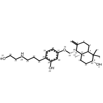 C=C1CCC2C(C)(C)[C@H](O)CC[C@@]2(C)[C@@H]1COc1ccc(CCCNCCOC)c(O)c1